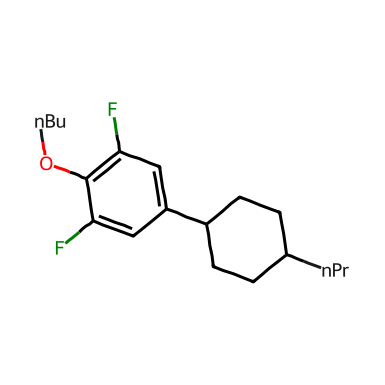 CCCCOc1c(F)cc(C2CCC(CCC)CC2)cc1F